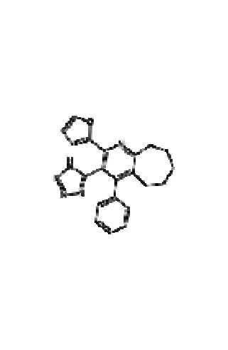 c1ccc(-c2c3c(nc(-c4ccco4)c2-c2nnn[nH]2)CCCCC3)cc1